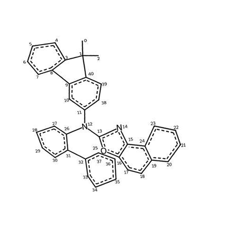 CC1(C)c2ccccc2-c2cc(N(c3nc4c(ccc5ccccc54)o3)c3ccccc3-c3ccccc3)ccc21